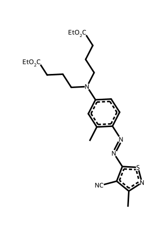 CCOC(=O)CCCN(CCCC(=O)OCC)c1ccc(N=Nc2snc(C)c2C#N)c(C)c1